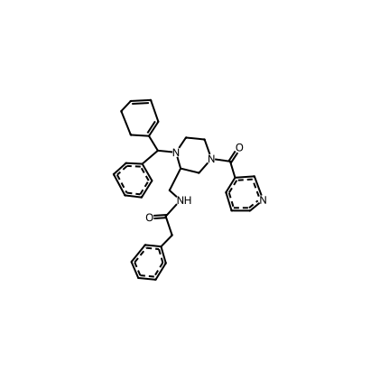 O=C(Cc1ccccc1)NCC1CN(C(=O)c2cccnc2)CCN1C(C1=CC=CCC1)c1ccccc1